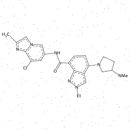 CCn1cc2c(N3CCC(NC)C3)ccc(C(=O)Nc3cc(Cl)c4nc(C)cn4c3)c2n1